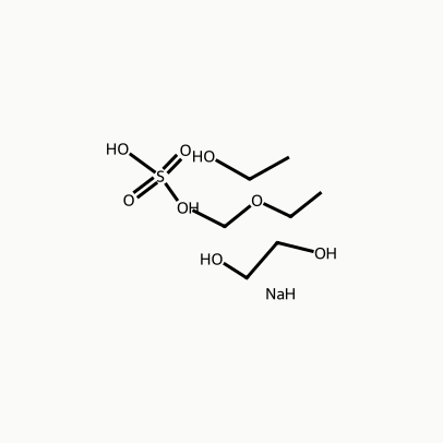 CCO.CCOCC.O=S(=O)(O)O.OCCO.[NaH]